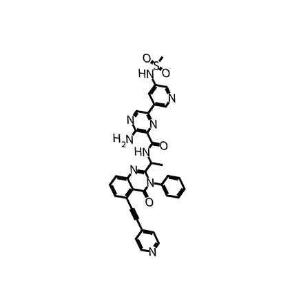 CC(NC(=O)c1nc(-c2cncc(NS(C)(=O)=O)c2)cnc1N)c1nc2cccc(C#Cc3ccncc3)c2c(=O)n1-c1ccccc1